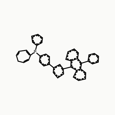 C1=CCC=CC(P(c2ccccc2)c2ccc(-c3cccc(-c4c5ccccc5c(-c5ccccc5)c5ccccc45)c3)cc2)=C1